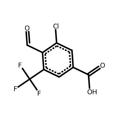 O=Cc1c(Cl)cc(C(=O)O)cc1C(F)(F)F